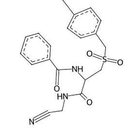 Cc1ccc(CS(=O)(=O)CC(NC(=O)c2ccccc2)C(=O)NCC#N)cc1